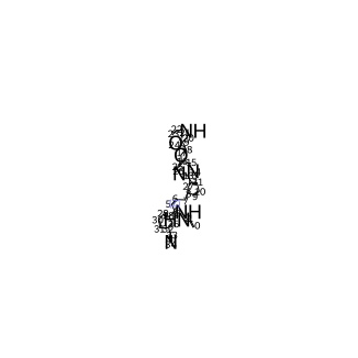 C=CNNC(/C=C\Cc1cccc(-c2ncc(OCC3CNCCO3)cn2)c1)c1cccc(C#N)c1